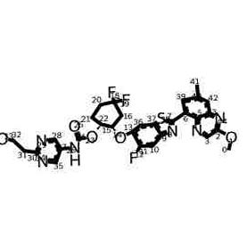 COc1cnc2c(-c3nc4cc(F)c(O[C@H]5CC(F)(F)CC[C@H]5OC(=O)Nc5cnc(CCO)nc5)cc4s3)cc(C)cc2n1